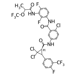 CC(OC(F)(F)F)C(=O)Nc1c(F)ccc(NC(=O)c2cc(NC(=O)[C@H]3C(c4ccc(F)c(C(F)(F)F)c4)C3(Cl)Cl)ccc2Cl)c1F